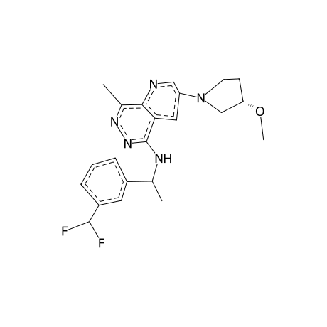 CO[C@H]1CCN(c2cnc3c(C)nnc(NC(C)c4cccc(C(F)F)c4)c3c2)C1